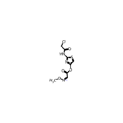 CO/N=C\C(=O)Oc1csc(NC(=O)CCl)n1